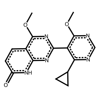 COc1ncnc(C2CC2)c1-c1nc(OC)c2ccc(=O)[nH]c2n1